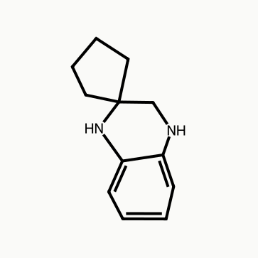 c1ccc2c(c1)NCC1(CCCC1)N2